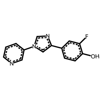 Oc1ccc(-c2cn(-c3cccnc3)cn2)cc1F